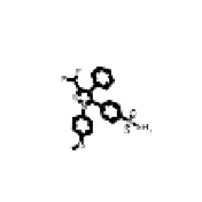 COc1ccc(-n2nc(C(F)F)c(-c3ccccc3)c2-c2ccc(S(N)(=O)=O)cc2)cc1